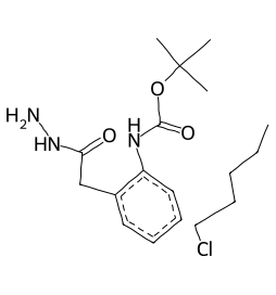 CC(C)(C)OC(=O)Nc1ccccc1CC(=O)NN.CCCCCCl